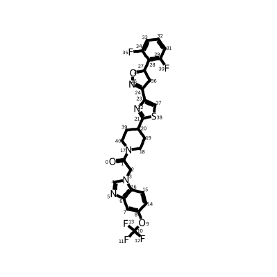 O=C(Cn1cnc2cc(OC(F)(F)F)ccc21)N1CCC(c2nc(C3=NOC(c4c(F)cccc4F)C3)cs2)CC1